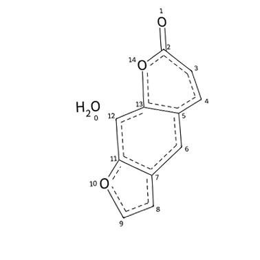 O.O=c1ccc2cc3ccoc3cc2o1